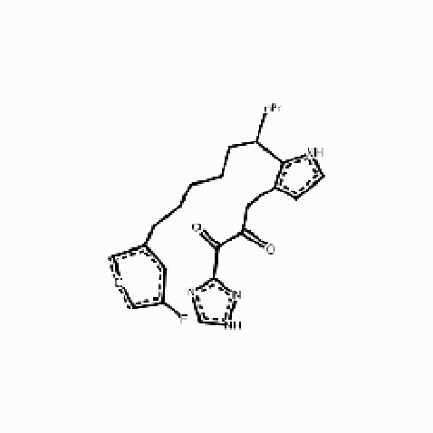 CCCC(CCCCCc1cccc(F)c1)c1[nH]ccc1CC(=O)C(=O)c1nc[nH]n1